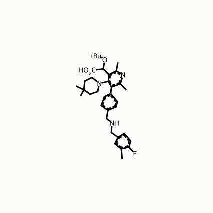 Cc1cc(CNCc2ccc(-c3c(C)nc(C)c(C(OC(C)(C)C)C(=O)O)c3N3CCC(C)(C)CC3)cc2)ccc1F